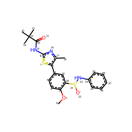 COc1ccc(-c2sc(NC(=O)C(C)(C)C)nc2C)cc1[S+]([O-])Nc1ccccc1